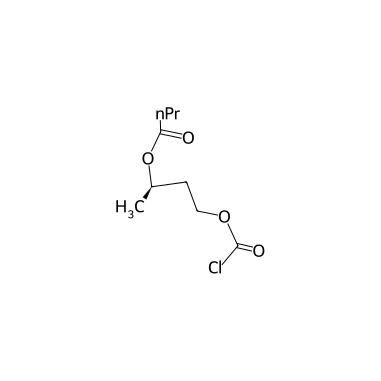 CCCC(=O)O[C@H](C)CCOC(=O)Cl